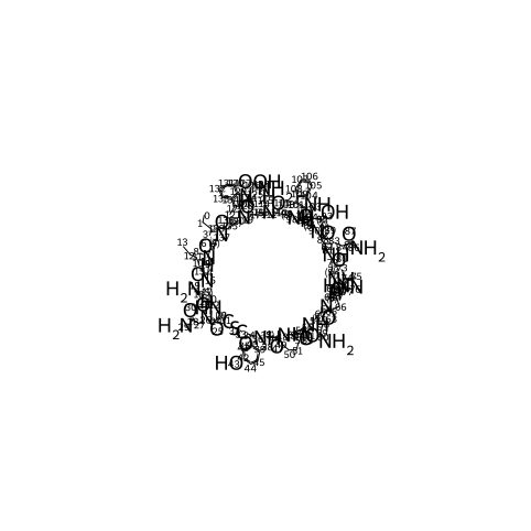 CCCC[C@H]1C(=O)N(C)[C@@H](CCCC)C(=O)N[C@@H](CN)C(=O)N[C@H](C(=O)NCC(N)=O)CSCC(=O)N[C@@H](Cc2ccc(O)cc2)C(=O)N2CCCC[C@H]2C(=O)N[C@@H](CC(N)=O)C(=O)N2CCC[C@H]2C(=O)N[C@@H](Cc2cnc[nH]2)C(=O)N[C@@H](CCC(N)=O)C(=O)N2C[C@H](O)C[C@H]2C(=O)N[C@@H](Cc2c[nH]c3ccccc23)C(=O)N[C@@H](CCN)C(=O)N[C@@H](Cc2cn(CC(=O)O)c3ccccc23)C(=O)N1C